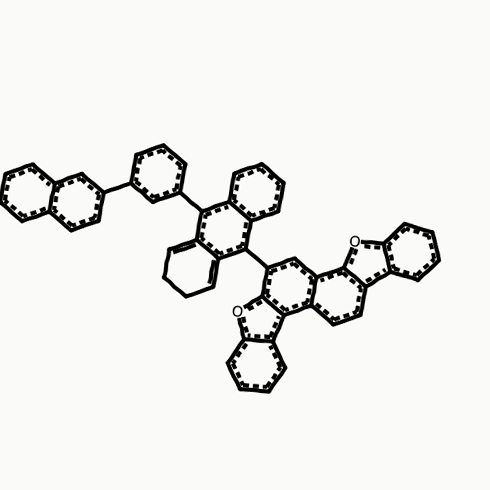 C1=c2c(-c3cccc(-c4ccc5ccccc5c4)c3)c3ccccc3c(-c3cc4c(ccc5c6ccccc6oc54)c4c3oc3ccccc34)c2=CCC1